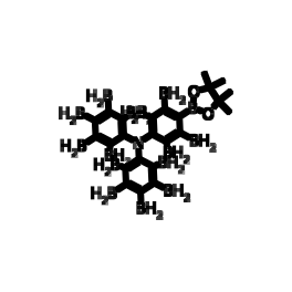 Bc1c(B)c(B)c(N(c2c(B)c(B)c(B)c(B)c2B)c2c(B)c(B)c(B3OC(C)(C)C(C)(C)O3)c(B)c2B)c(B)c1B